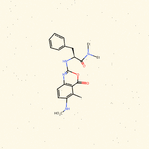 CCN(CC)C(=O)[C@H](Cc1ccccc1)Nc1nc2ccc(NC(=O)O)c(C)c2c(=O)o1